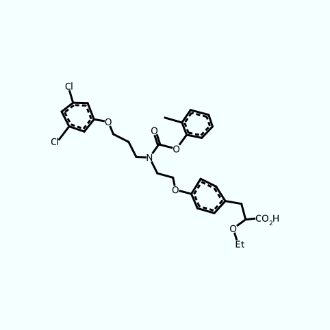 CCOC(Cc1ccc(OCCN(CCCOc2cc(Cl)cc(Cl)c2)C(=O)Oc2ccccc2C)cc1)C(=O)O